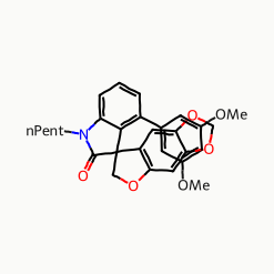 CCCCCN1C(=O)C2(COc3cc4c(cc32)OCO4)c2c(-c3cc(OC)cc(OC)c3)cccc21